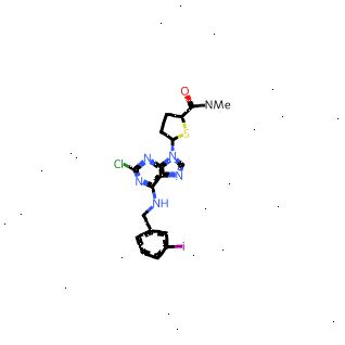 CNC(=O)C1CCC(n2cnc3c(NCc4cccc(I)c4)nc(Cl)nc32)S1